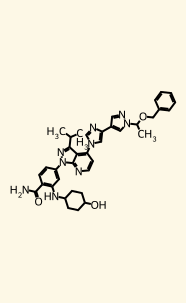 CC(C)c1nn(-c2ccc(C(N)=O)c(NC3CCC(O)CC3)c2)c2nccc(-n3cnc(-c4cnn(C(C)OCc5ccccc5)c4)c3)c12